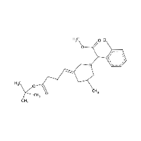 COC(=O)C(c1ccccc1Cl)N1C/C(=C/CCC(=O)OC(C)(C)C)CC(C)C1